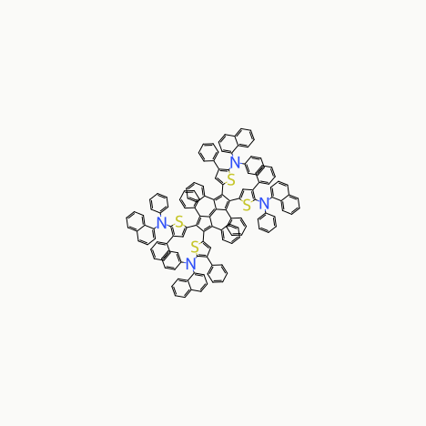 c1ccc(C2=C(c3cc(-c4ccccc4)c(N(c4ccccc4)c4cccc5ccccc45)s3)C(c3cc(-c4ccccc4)c(N(c4ccccc4)c4cccc5ccccc45)s3)=C(c3ccccc3)C2=C2C(c3ccccc3)=C(c3cc(-c4ccccc4)c(N(c4ccccc4)c4cccc5ccccc45)s3)C(c3cc(-c4ccccc4)c(N(c4ccccc4)c4cccc5ccccc45)s3)=C2c2ccccc2)cc1